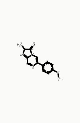 COc1ccc(C2=CN3C(=O)C(C)N=C3C=N2)cc1